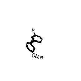 COc1cccc(-c2[c]ccc(F)c2)c1